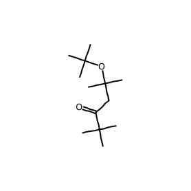 CC(C)(C)OC(C)(C)CC(=O)C(C)(C)C